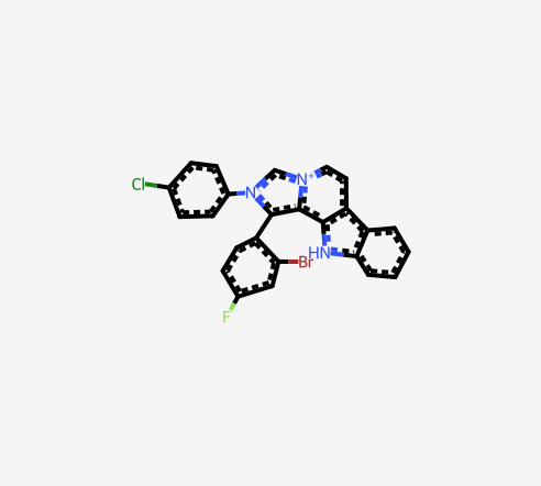 Fc1ccc(-c2c3c4[nH]c5ccccc5c4cc[n+]3cn2-c2ccc(Cl)cc2)c(Br)c1